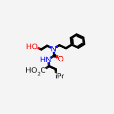 CC(C)CC(NC(=O)N(CCO)CCc1ccccc1)C(=O)O